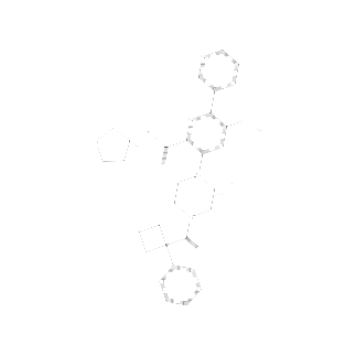 CCOc1cc(N2CCN(C(=O)C3(c4ccccc4)CCC3)C[C@H]2CC)c(C(=O)N[C@@H]2CCNC2)nc1-c1cccnc1